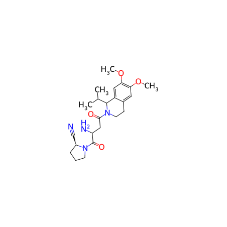 COc1cc2c(cc1OC)C(C(C)C)N(C(=O)CC(N)C(=O)N1CCC[C@H]1C#N)CC2